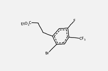 CCOC(=O)CCc1cc(F)c(C(F)(F)F)cc1Br